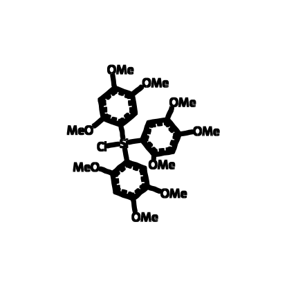 COc1cc(OC)c([Si](Cl)(c2cc(OC)c(OC)cc2OC)c2cc(OC)c(OC)cc2OC)cc1OC